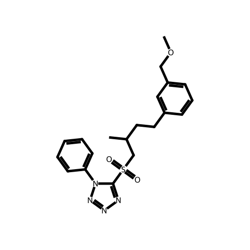 COCc1cccc(CCC(C)CS(=O)(=O)c2nnnn2-c2ccccc2)c1